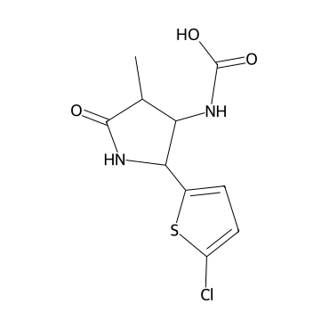 CC1C(=O)NC(c2ccc(Cl)s2)C1NC(=O)O